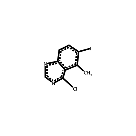 Cc1c(I)ccc2ncnc(Cl)c12